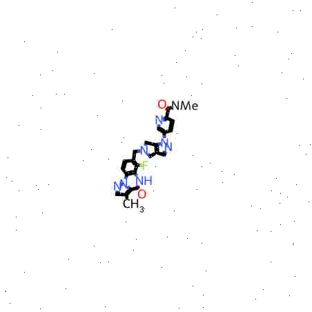 CNC(=O)c1ccc(-n2ncc3c2CN(Cc2ccc4c([nH]c(=O)c5c(C)cnn54)c2F)C3)cn1